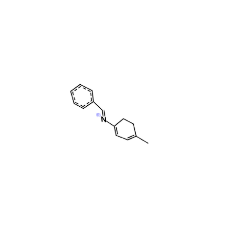 CC1=CC=C(/N=C/c2ccccc2)CC1